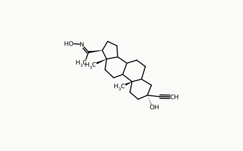 C#C[C@@]1(O)CC[C@@]2(C)C(CCC3C2CC[C@@]2(C)C3CC[C@@H]2/C(C)=N/O)C1